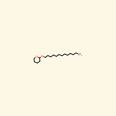 FC(F)(F)CCCCCCCCCCCCOC1CCCCO1